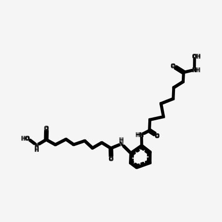 O=C(CCCCCCC(=O)Nc1ccccc1NC(=O)CCCCCCC(=O)NO)NO